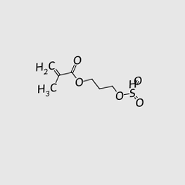 C=C(C)C(=O)OCCCO[SH](=O)=O